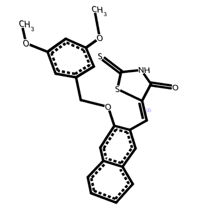 COc1cc(COc2cc3ccccc3cc2/C=C2\SC(=S)NC2=O)cc(OC)c1